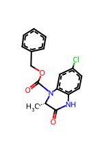 C[C@H]1C(=O)Nc2ccc(Cl)cc2N1C(=O)OCc1ccccc1